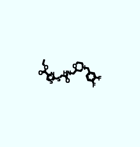 CCOC(=O)c1csc(SCC(=O)NCC2CN(Cc3ccc(F)c(F)c3)CCO2)n1